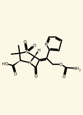 CC1(C)[C@H](C(=O)O)N2C(=O)/C(=C(\COC(N)=O)c3ccccn3)[C@H]2S1(=O)=O